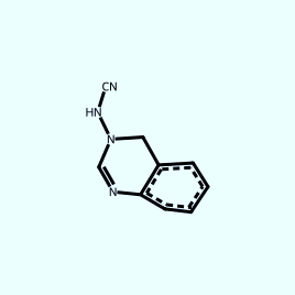 N#CNN1C=Nc2ccccc2C1